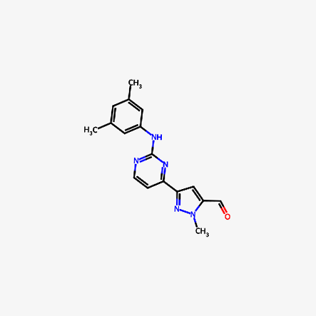 Cc1cc(C)cc(Nc2nccc(-c3cc(C=O)n(C)n3)n2)c1